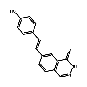 O=c1[nH]ncc2ccc(C=Cc3ccc(O)cc3)cc12